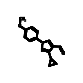 COc1ccc(-n2cc(C=O)c(C3CC3)n2)cc1